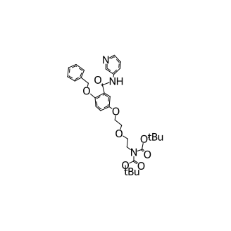 CC(C)(C)OC(=O)N(CCOCCOc1ccc(OCc2ccccc2)c(C(=O)Nc2cccnc2)c1)C(=O)OC(C)(C)C